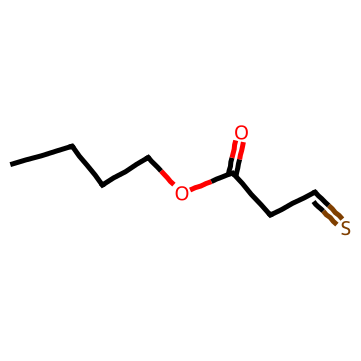 CCCCOC(=O)CC=S